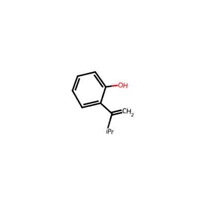 C=C(c1ccccc1O)C(C)C